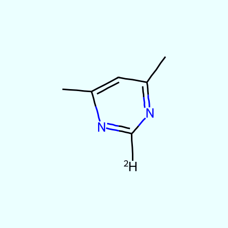 [2H]c1nc(C)cc(C)n1